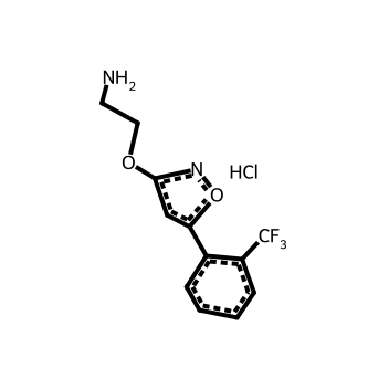 Cl.NCCOc1cc(-c2ccccc2C(F)(F)F)on1